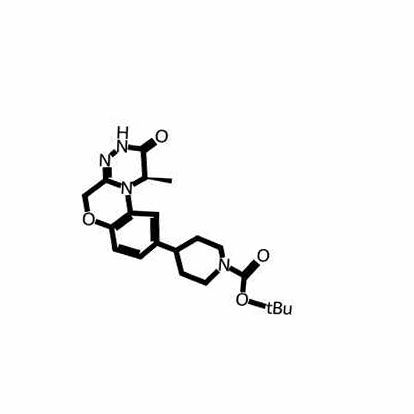 C[C@@H]1C(=O)NN=C2COc3ccc(C4CCN(C(=O)OC(C)(C)C)CC4)cc3N21